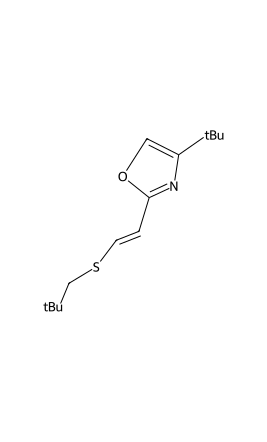 CC(C)(C)CSC=Cc1nc(C(C)(C)C)co1